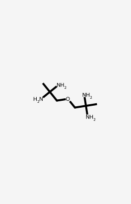 CC(N)(N)COCC(C)(N)N